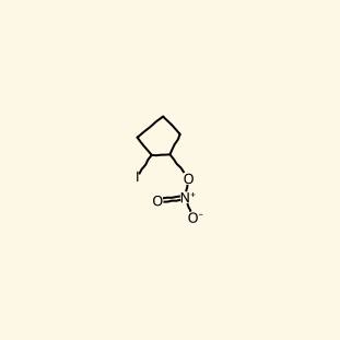 O=[N+]([O-])OC1CCCC1I